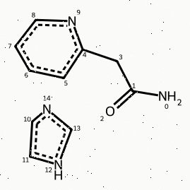 NC(=O)Cc1ccccn1.c1c[nH]cn1